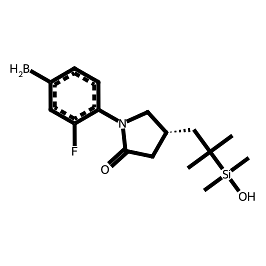 Bc1ccc(N2C[C@H](CC(C)(C)[Si](C)(C)O)CC2=O)c(F)c1